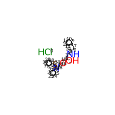 Cl.OC(CNC1CCc2ccccc2C1)COC1=CN(c2ccccc2)S(c2ccccc2)=C1